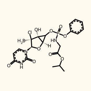 B[C@@]1(Cl)[C@H](n2ccc(=O)[nH]c2=O)O[C@@H]2C(OP(=O)(NCC(=O)OC(C)C)Oc3ccccc3)[C@@]21O